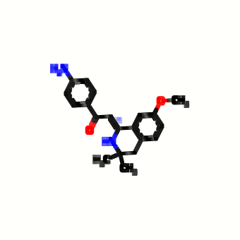 COc1ccc2c(c1)/C(=C/C(=O)c1ccc(N)cc1)NC(C)(C)C2